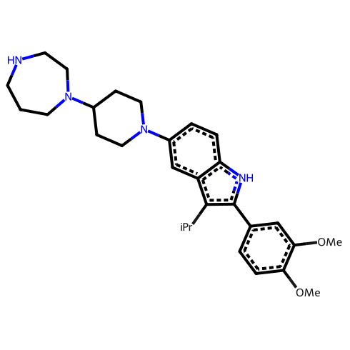 COc1ccc(-c2[nH]c3ccc(N4CCC(N5CCCNCC5)CC4)cc3c2C(C)C)cc1OC